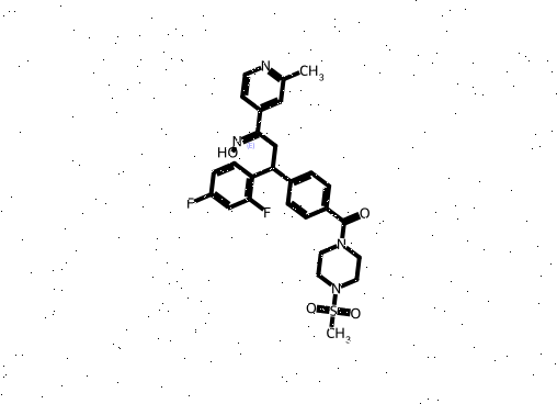 Cc1cc(/C(CC(c2ccc(C(=O)N3CCN(S(C)(=O)=O)CC3)cc2)c2ccc(F)cc2F)=N/O)ccn1